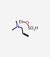 C=CCN(C)C.CCOS(=O)(=O)O